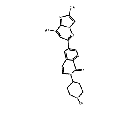 Cc1cn2nc(-c3cc4ccn(C5CCB(C#N)CC5)c(=O)c4cn3)cc(C)c2n1